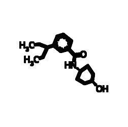 CCC(CC)c1cccc(C(=O)N[C@H]2CC[C@H](O)CC2)c1